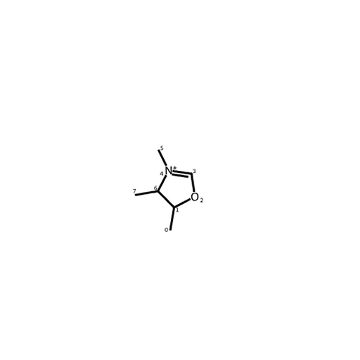 CC1OC=[N+](C)C1C